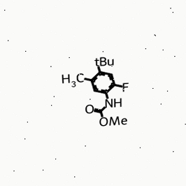 COC(=O)Nc1cc(C)c(C(C)(C)C)cc1F